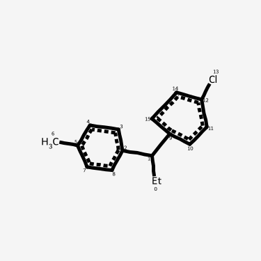 CCC(c1ccc(C)cc1)c1ccc(Cl)cc1